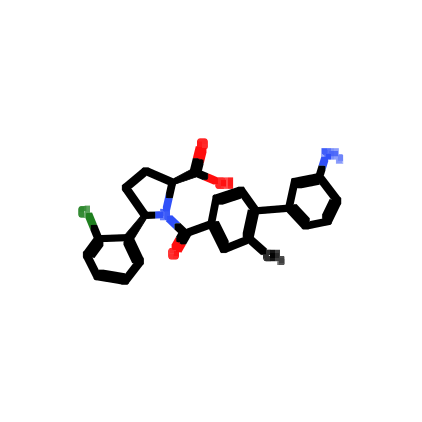 Cc1cc(C(=O)N2[C@@H](c3ccccc3Cl)CC[C@H]2C(=O)O)ccc1-c1cccc(N)c1